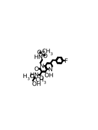 CC(C)(CO)NC(=O)c1c(O)c2ncc(Cc3ccc(F)cc3)cc2n(CCNS(C)(=O)=O)c1=O